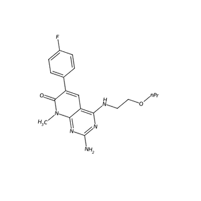 CCCOCCNc1nc(N)nc2c1cc(-c1ccc(F)cc1)c(=O)n2C